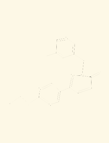 CC(C)(C)COc1ncc(-c2ccc(=O)n(Cc3cncc(F)c3)n2)cn1